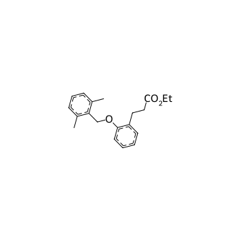 CCOC(=O)CCc1ccccc1OCc1c(C)cccc1C